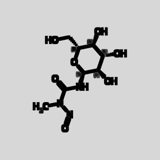 CN(N=O)C(=O)N[C@H]1O[C@H](CO)[C@@H](O)[C@H](O)[C@H]1O